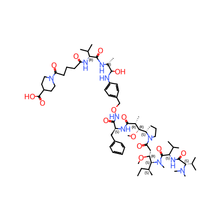 CC[C@H](C)[C@@H]([C@@H](CC(=O)N1CCC[C@H]1[C@H](OC)[C@@H](C)C(=O)N[C@@H](Cc1ccccc1)C(=O)NOCc1ccc(NC(O)[C@@H](C)NC(=O)[C@H](NC(=O)CCCC(=O)N2CCC(C(=O)O)CC2)C(C)C)cc1)OC)N(C)C(=O)[C@@H](NC(=O)[C@H](C(C)C)N(C)C)C(C)C